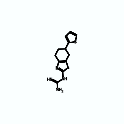 N=C(N)Nc1nc2c(s1)CC(c1cccs1)CC2